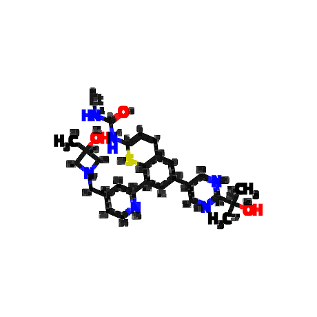 CCNC(=O)NC1=C=Cc2cc(-c3cnc(C(C)(C)O)nc3)cc(-c3cc(CN4CC(C)(O)C4)ccn3)c2S1